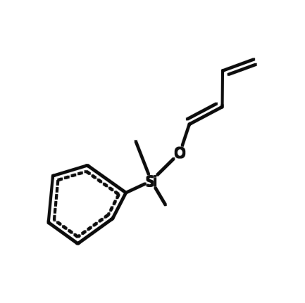 C=C/C=C/O[Si](C)(C)c1ccccc1